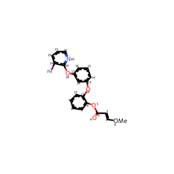 COC=CC(=O)Oc1ccccc1Oc1cccc(Oc2ncccc2I)c1